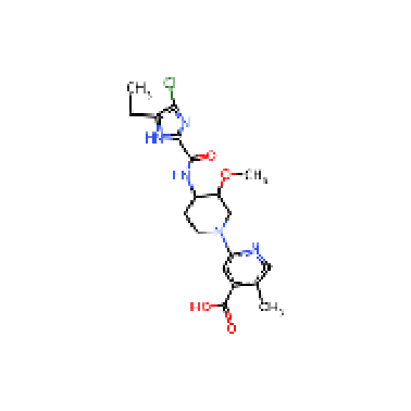 CCc1[nH]c(C(=O)NC2CCN(c3cc(C(=O)O)c(C)cn3)CC2OC)nc1Cl